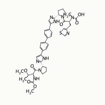 COC(=O)N[C@H](C(=O)N1CCC[C@H]1c1ncc(-c2ccc(-c3ccc(-c4cnc([C@@H]5CCCN5C(=O)[C@H](Cc5cscn5)N(C)C(=O)O)[nH]4)cc3)cc2)[nH]1)[C@@H](C)OC